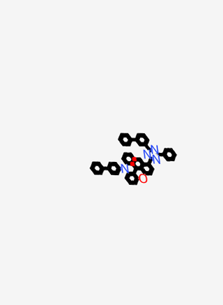 c1ccc(-c2ccc(N(c3ccccc3)c3cccc4c3-c3cccc5c(-c6nc(-c7ccccc7)nc(-c7cccc(-c8ccccc8)c7)n6)ccc(c35)O4)cc2)cc1